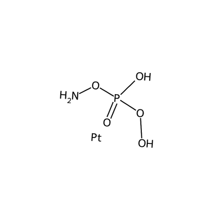 NOP(=O)(O)OO.[Pt]